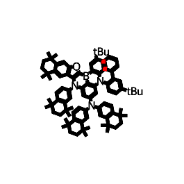 CC(C)(C)c1ccc2c(c1)B1c3oc4cc5c(cc4c3N(c3ccc4c(c3)C(C)(C)CCC4(C)C)c3cc(N(c4ccc6c(c4)C(C)(C)CCC6(C)C)c4ccc6c(c4)C(C)(C)CCC6(C)C)cc(c31)N2c1ccc(C(C)(C)C)cc1-c1ccccc1)C(C)(C)CCC5(C)C